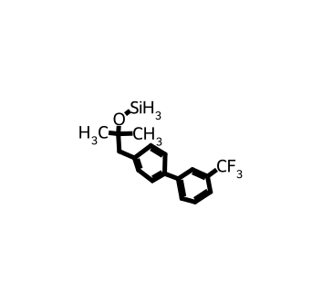 CC(C)(Cc1ccc(-c2cccc(C(F)(F)F)c2)cc1)O[SiH3]